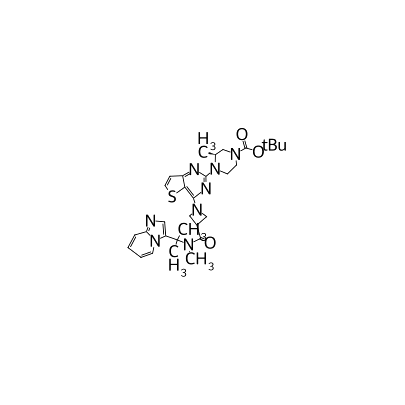 C[C@H]1CN(C(=O)OC(C)(C)C)CCN1c1nc(N2CC(C(=O)N(C)C(C)(C)c3cnc4ccccn34)C2)c2sccc2n1